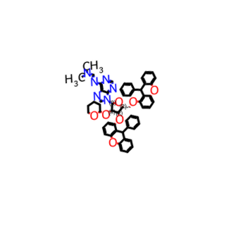 CN(C)C=Nc1ncnc2c1ncn2[C@@H]1O[C@H](COc2cccc3c2C(c2ccccc2)c2ccccc2O3)[C@@H](Oc2cccc3c2C(c2ccccc2)c2ccccc2O3)[C@H]1OC1CCCCO1